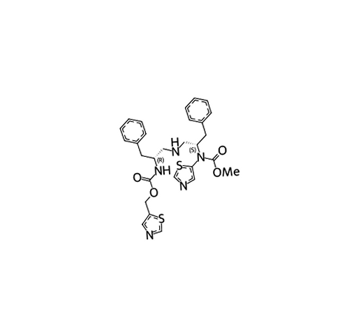 COC(=O)N(c1cncs1)[C@H](CNC[C@@H](Cc1ccccc1)NC(=O)OCc1cncs1)Cc1ccccc1